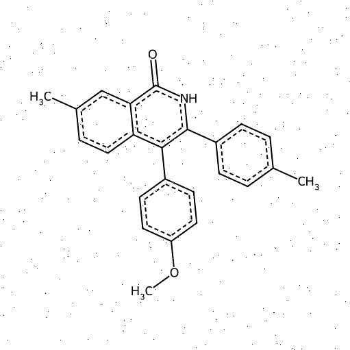 COc1ccc(-c2c(-c3ccc(C)cc3)[nH]c(=O)c3cc(C)ccc23)cc1